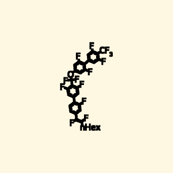 CCCCCC/C(F)=C(\F)c1ccc(-c2cc(F)c(C(F)(F)Oc3cc(F)c(-c4cc(F)c(C(F)(F)F)c(F)c4)c(F)c3)c(F)c2)c(F)c1